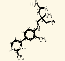 Cc1cc(-c2ccnc(C(F)(F)F)n2)ccc1OCC(C)(CC(C)C)OC(N)=O